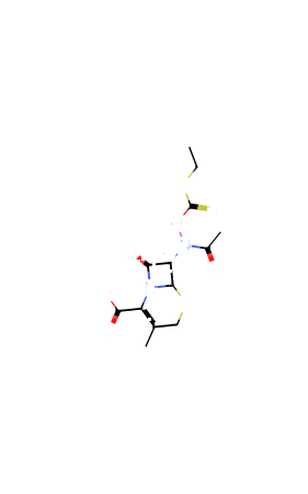 CCSC(=S)ON(C(C)=O)[C@@H]1C(=O)N2C(C(=O)O)=C(C)CSC12